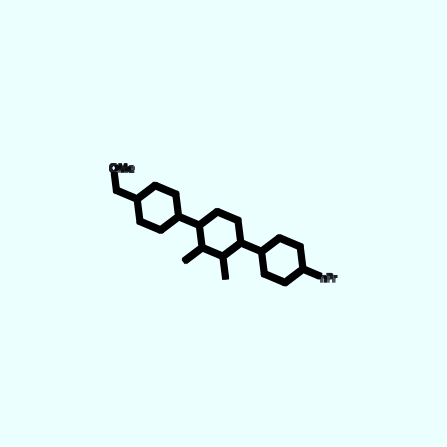 CCCC1CCC(C2CCC(C3CCC(COC)CC3)C(C)C2C)CC1